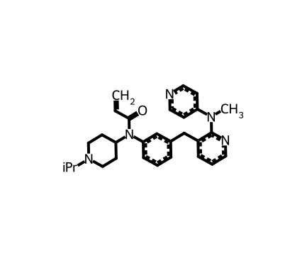 C=CC(=O)N(c1cccc(Cc2cccnc2N(C)c2ccncc2)c1)C1CCN(C(C)C)CC1